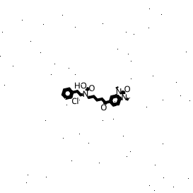 Cn1c(=O)n(C)c2cc(C(=O)CCCCN(CCc3ccccc3Cl)C(=O)O)ccc21